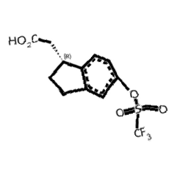 O=C(O)C[C@H]1CCc2cc(OS(=O)(=O)C(F)(F)F)ccc21